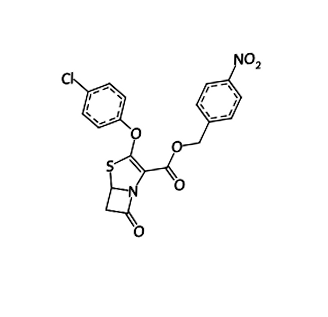 O=C(OCc1ccc([N+](=O)[O-])cc1)C1=C(Oc2ccc(Cl)cc2)SC2CC(=O)N12